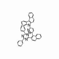 c1ccc(-c2nc(-c3ccccc3)nc(-c3ccc4ccccc4c3-c3ccc(-n4c5ccccc5c5c6ccccc6ccc54)nn3)n2)cc1